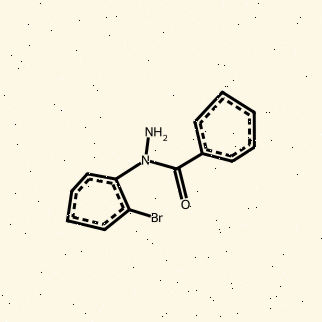 NN(C(=O)c1ccccc1)c1ccccc1Br